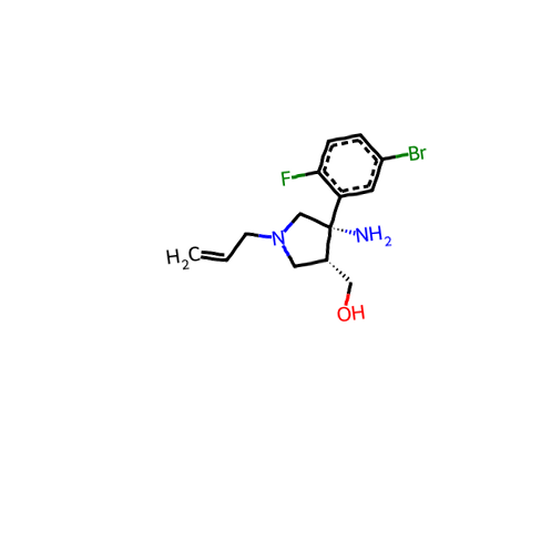 C=CCN1C[C@@H](CO)[C@](N)(c2cc(Br)ccc2F)C1